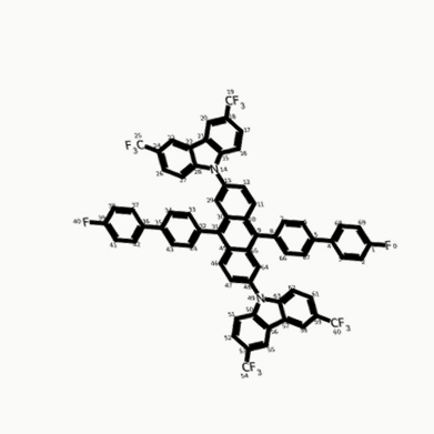 Fc1ccc(-c2ccc(-c3c4ccc(-n5c6ccc(C(F)(F)F)cc6c6cc(C(F)(F)F)ccc65)cc4c(-c4ccc(-c5ccc(F)cc5)cc4)c4ccc(-n5c6ccc(C(F)(F)F)cc6c6cc(C(F)(F)F)ccc65)cc34)cc2)cc1